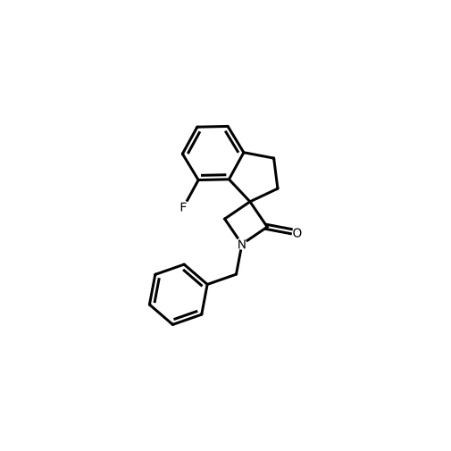 O=C1N(Cc2ccccc2)CC12CCc1cccc(F)c12